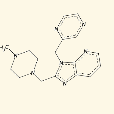 CN1CCN(Cc2nc3cccnc3n2Cc2cnccn2)CC1